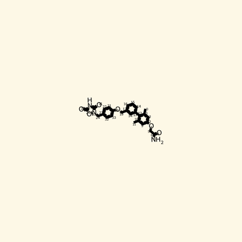 Cc1cc(OCC(N)=O)cc(C)c1-c1cccc(COc2ccc(Cn3oc(=O)[nH]c3=O)cc2)c1